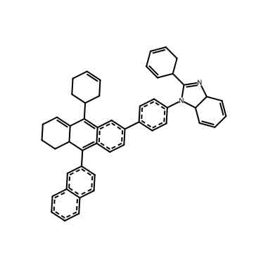 C1=CCC(C2=NC3C=CC=CC3N2c2ccc(-c3ccc4c(c3)=C(C3CC=CCC3)C3=CCCCC3C=4c3ccc4ccccc4c3)cc2)C=C1